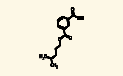 CC(C)CCCOC(=O)c1cccc(C(=O)O)c1